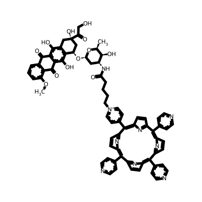 COc1cccc2c1C(=O)c1c(O)c3c(c(O)c1C2=O)C[C@@](O)(C(=O)CO)C[C@@H]3O[C@H]1C[C@@H](NC(=O)CCCC[n+]2ccc(C3=C4C=CC(=N4)C(c4ccncc4)=C4C=CC(=N4)C(c4ccncc4)=C4C=CC(=N4)C(c4ccncc4)=C4C=CC3=N4)cc2)[C@H](O)[C@H](C)O1